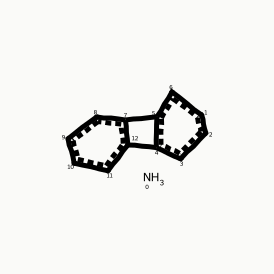 N.c1ccc2c(c1)-c1ccccc1-2